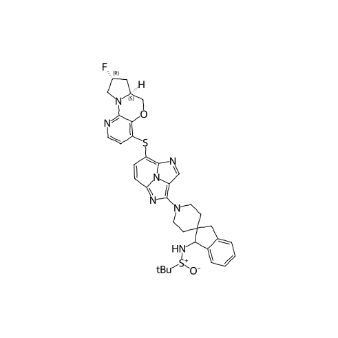 CC(C)(C)[S+]([O-])NC1c2ccccc2CC12CCN(c1nc3ccc(Sc4ccnc5c4OC[C@@H]4C[C@@H](F)CN54)c4ncc1n34)CC2